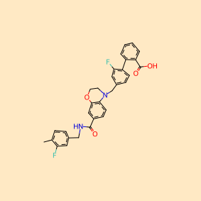 Cc1ccc(CNC(=O)c2ccc3c(c2)OCCN3Cc2ccc(-c3ccccc3C(=O)O)c(F)c2)cc1F